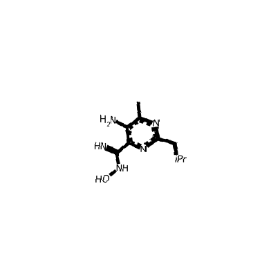 Cc1nc(CC(C)C)nc(C(=N)NO)c1N